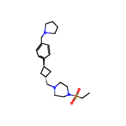 CCS(=O)(=O)N1CCN(C[C@H]2C[C@H](c3ccc(CN4CCCC4)cc3)C2)CC1